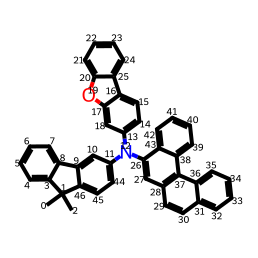 CC1(C)c2ccccc2-c2cc(N(c3ccc4c(c3)oc3ccccc34)c3cc4ccc5ccccc5c4c4ccccc34)ccc21